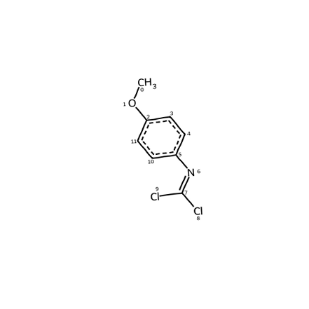 COc1ccc(N=C(Cl)Cl)cc1